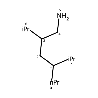 CCCC(CC(CN)C(C)C)C(C)C